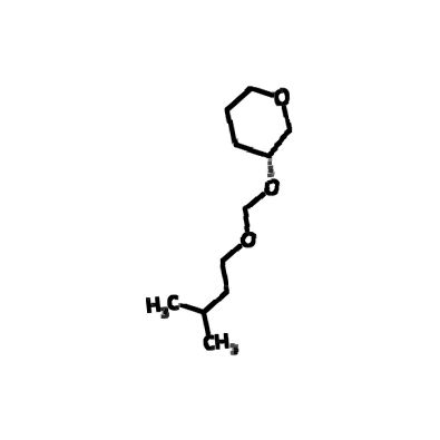 CC(C)CCOCO[C@@H]1CCCOC1